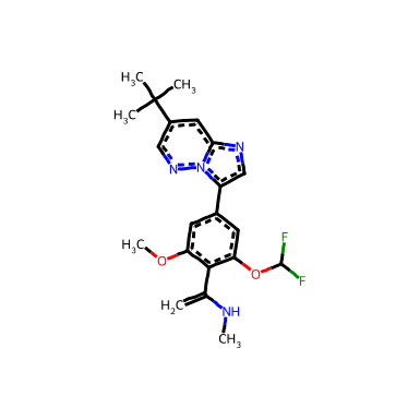 C=C(NC)c1c(OC)cc(-c2cnc3cc(C(C)(C)C)cnn23)cc1OC(F)F